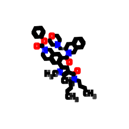 CCCCN(CCCC)C(=O)c1cc(-c2cc3c(cc2C(=O)N2Cc4ccccc4C[C@H]2CN2CCOCC2)CN(C(=O)Oc2ccccc2)CC3)n(C)c1C